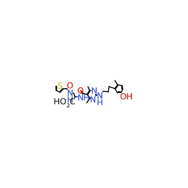 Cc1ccc(O)cc1CCCNc1nc(C)c(C(=O)NC(CNC(=O)c2cccs2)C(=O)O)c(C)n1